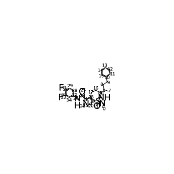 CN=S1(=O)N[C@@H](C(C)CCc2ccccc2)CCc2c1cn(C)c2C(=O)Nc1ccc(F)c(F)c1